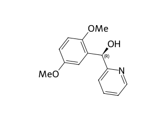 COc1ccc(OC)c([C@@H](O)c2ccccn2)c1